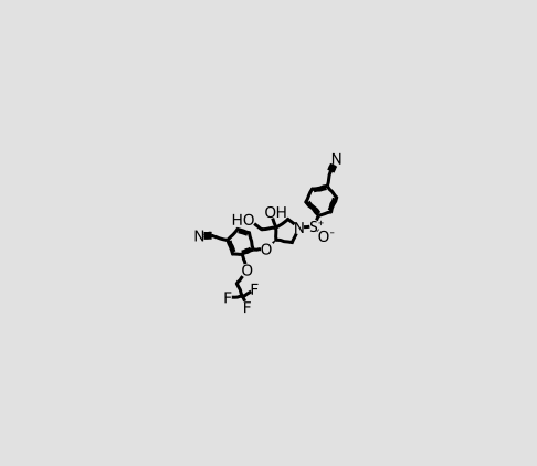 N#Cc1ccc([S+]([O-])N2C[C@H](Oc3ccc(C#N)cc3OCC(F)(F)F)C(O)(CO)C2)cc1